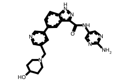 Nc1ncc(NC(=O)c2n[nH]c3ccc(-c4cncc(CN5CCC(O)CC5)c4)cc23)cn1